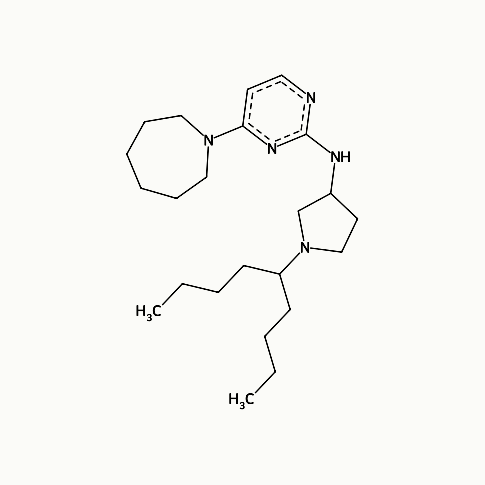 CCCCC(CCCC)N1CCC(Nc2nccc(N3CCCCCC3)n2)C1